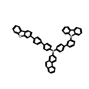 c1cc(-c2ccc(N(c3ccc(-c4ccc(-c5ccc6c(c5)oc5ccccc56)cc4)cc3)c3ccc4c(ccc5ccccc54)c3)cc2)cc(-n2c3ccccc3c3ccccc32)c1